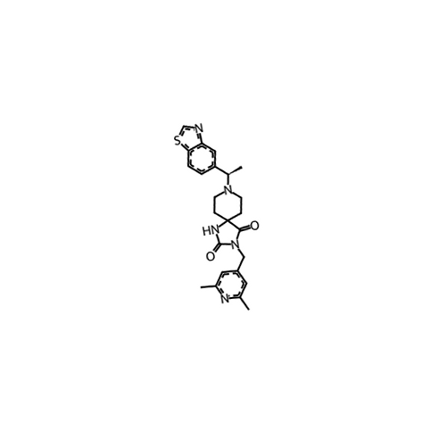 Cc1cc(CN2C(=O)NC3(CCN([C@H](C)c4ccc5scnc5c4)CC3)C2=O)cc(C)n1